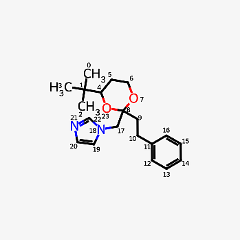 CC(C)(C)C1CCOC(CCc2ccccc2)(Cn2ccnc2)O1